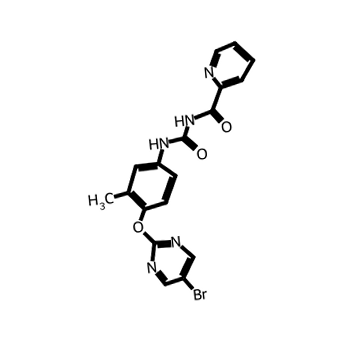 Cc1cc(NC(=O)NC(=O)c2ccccn2)ccc1Oc1ncc(Br)cn1